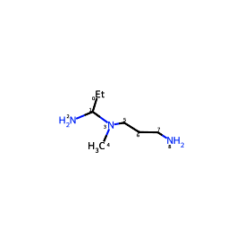 CCC(N)N(C)CCCN